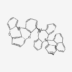 c1ccc([Si]2(c3cccc4ccccc34)c3ccccc3N(c3cccc4c3Oc3cccc5c3B4c3ccccc3O5)c3ccccc32)cc1